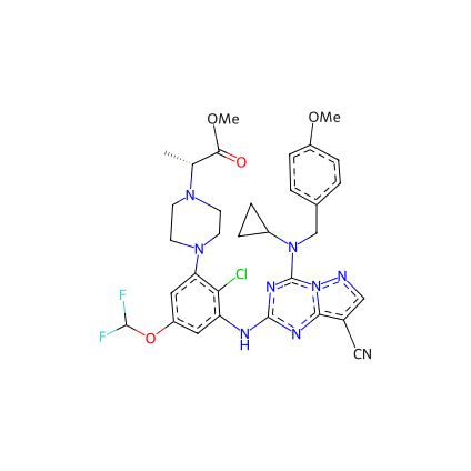 COC(=O)[C@@H](C)N1CCN(c2cc(OC(F)F)cc(Nc3nc(N(Cc4ccc(OC)cc4)C4CC4)n4ncc(C#N)c4n3)c2Cl)CC1